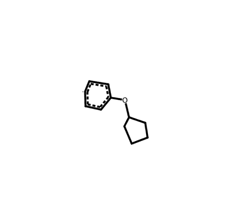 [c]1ccc(OC2CCCC2)cc1